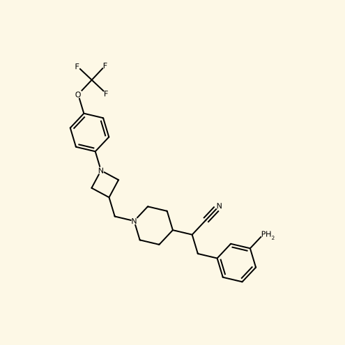 N#CC(Cc1cccc(P)c1)C1CCN(CC2CN(c3ccc(OC(F)(F)F)cc3)C2)CC1